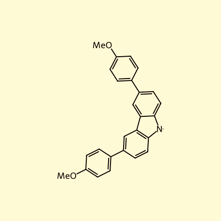 COc1ccc(-c2ccc3c(c2)-c2cc(-c4ccc(OC)cc4)ccc2[N]3)cc1